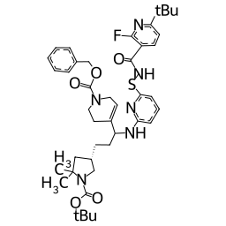 CC(C)(C)OC(=O)N1C[C@@H](CCC(Nc2cccc(SNC(=O)c3ccc(C(C)(C)C)nc3F)n2)C2=CCN(C(=O)OCc3ccccc3)CC2)CC1(C)C